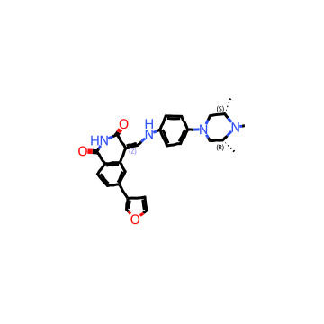 C[C@@H]1CN(c2ccc(N/C=C3\C(=O)NC(=O)c4ccc(-c5ccoc5)cc43)cc2)C[C@H](C)N1C